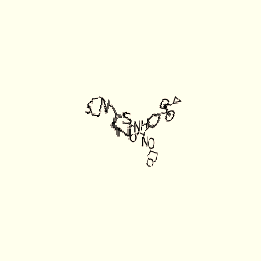 O=C(Nc1ncc(CN2CCSCC2)s1)/C(=N/O[C@@H]1CCOC1)c1ccc(S(=O)(=O)C2CC2)cc1